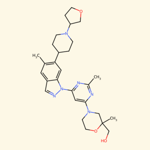 Cc1nc(N2CCOC(C)(CO)C2)cc(-n2ncc3cc(C)c(C4CCN(C5CCOC5)CC4)cc32)n1